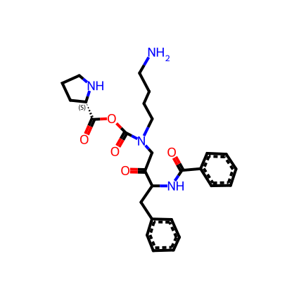 NCCCCN(CC(=O)C(Cc1ccccc1)NC(=O)c1ccccc1)C(=O)OC(=O)[C@@H]1CCCN1